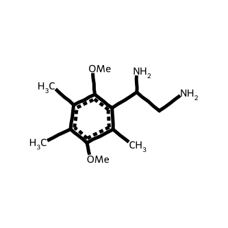 COc1c(C)c(C)c(OC)c(C(N)CN)c1C